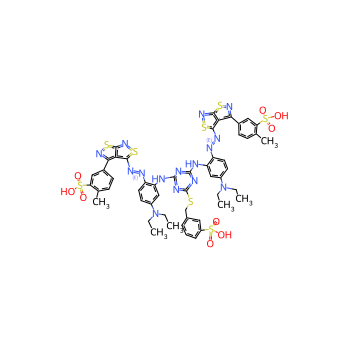 CCN(CC)c1ccc(/N=N/c2snc3snc(-c4ccc(C)c(S(=O)(=O)O)c4)c23)c(Nc2nc(Nc3cc(N(CC)CC)ccc3/N=N/c3snc4snc(-c5ccc(C)c(S(=O)(=O)O)c5)c34)nc(SCc3cccc(S(=O)(=O)O)c3)n2)c1